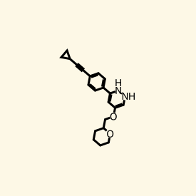 C(#CC1CC1)c1ccc(C2=CC(OCC3CCCCO3)=CNN2)cc1